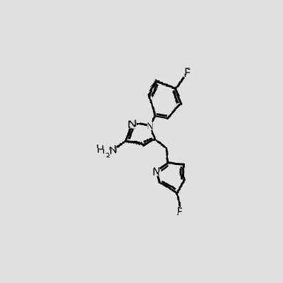 Nc1cc(Cc2ccc(F)cn2)n(-c2ccc(F)cc2)n1